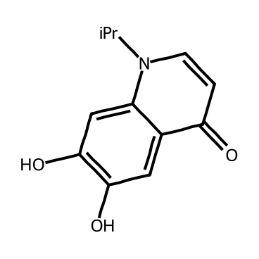 CC(C)n1ccc(=O)c2cc(O)c(O)cc21